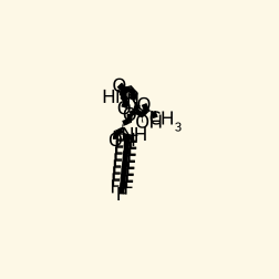 CC[C@H]1O[C@@H](n2ccc(=O)[nH]c2=O)C(OCC[C@@H](CO)NC(F)(F)C(F)(F)C(F)(F)C(F)(F)C(F)(F)C(F)(F)C(F)(F)C(F)(F)F)[C@H]1O